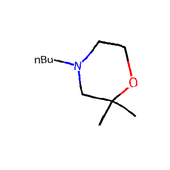 CC[CH]CN1CCOC(C)(C)C1